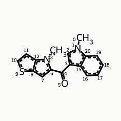 Cn1cc(C(=O)c2cc3sccc3n2C)c2ccccc21